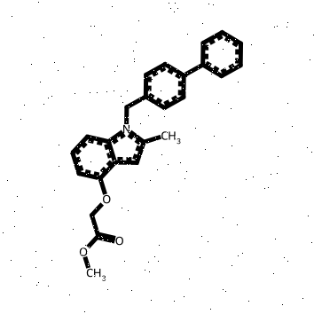 COC(=O)COc1cccc2c1cc(C)n2Cc1ccc(-c2ccccc2)cc1